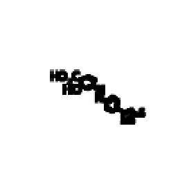 O=C(O)c1ccc(N=Nc2ccc(-c3cc(=S)ss3)cc2)cc1O